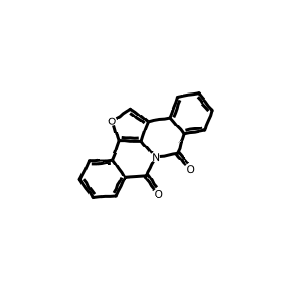 O=c1c2ccccc2c2coc3c4ccccc4c(=O)n1c23